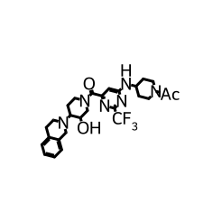 CC(=O)N1CCC(Nc2cc(C(=O)N3CCC(N4CCc5ccccc5C4)C(O)C3)nc(C(F)(F)F)n2)CC1